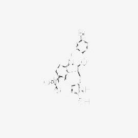 Cc1cc(C)c(C=C2C(=O)N(Cc3cccc(Br)c3)c3ccc([N+](=O)[O-])cc32)[nH]1